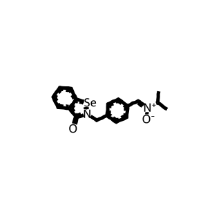 CC(C)[N+]([O-])=Cc1ccc(Cn2[se]c3ccccc3c2=O)cc1